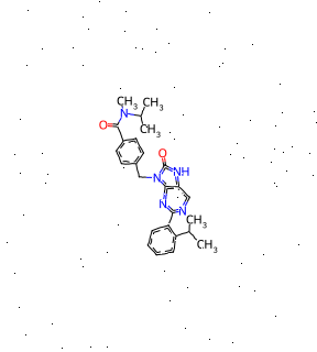 CC(C)c1ccccc1-c1ncc2[nH]c(=O)n(Cc3ccc(C(=O)N(C)C(C)C)cc3)c2n1